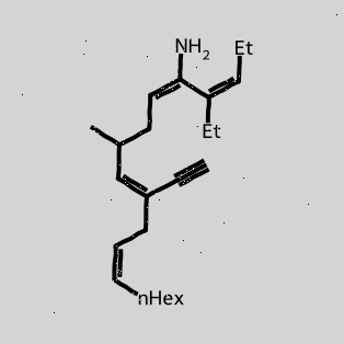 C#C/C(=C\C(C)C/C=C(N)\C(=C/CC)CC)C/C=C\CCCCCC